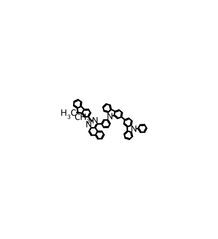 CC1(C)c2ccccc2-c2ccc(-c3nc(-c4cccc(-n5c6ccccc6c6ccc(-c7ccc8c(c7)c7ccccc7n8-c7ccccc7)cc65)c4)c4c(ccc5ccccc54)n3)cc21